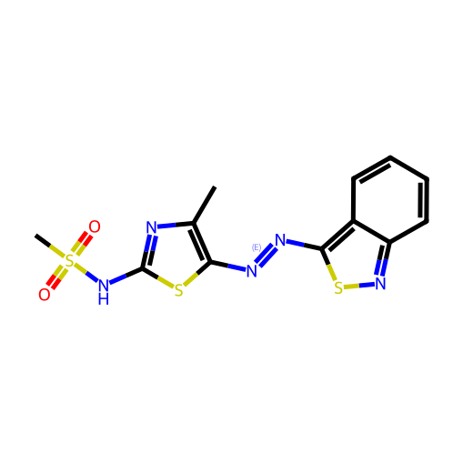 Cc1nc(NS(C)(=O)=O)sc1/N=N/c1snc2ccccc12